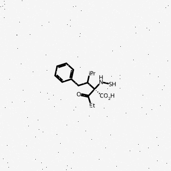 CCC(=O)[C@@](NS)(C(=O)O)C(Cc1ccccc1)C(C)C